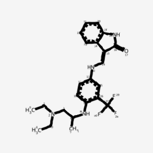 CCN(CC)CC(C)Nc1ccc(N/C=C2/C(=O)Nc3ccccc32)cc1C(F)(F)F